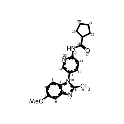 COc1ccc2c(c1)nc(C(F)(F)F)n2-c1ccc(NC(=O)C2CCCC2)nc1